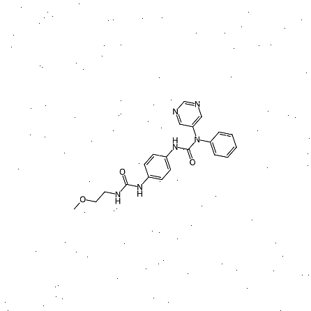 COCCNC(=O)Nc1ccc(NC(=O)N(c2ccccc2)c2cncnc2)cc1